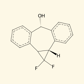 O[C@H]1c2ccccc2C2[C@H](c3ccccc31)C2(F)F